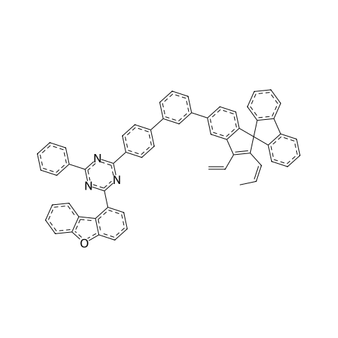 C=CC1=C(/C=C\C)C2(c3ccc(-c4cccc(-c5ccc(-c6nc(-c7ccccc7)nc(-c7cccc8oc9ccccc9c78)n6)cc5)c4)cc31)c1ccccc1-c1ccccc12